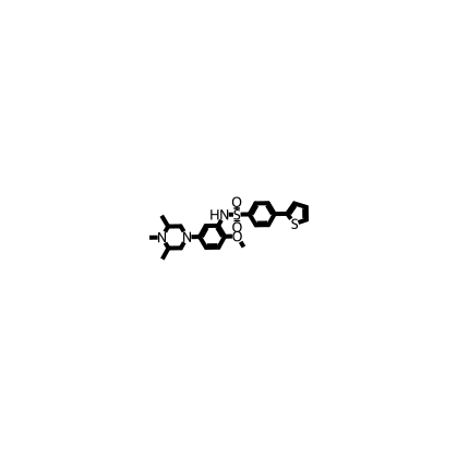 COc1ccc(N2CC(C)N(C)C(C)C2)cc1NS(=O)(=O)c1ccc(-c2cccs2)cc1